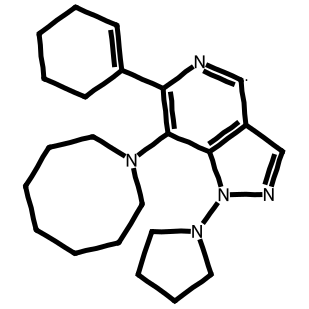 [c]1nc(C2=CCCCC2)c(N2CCCCCCC2)c2c1cnn2N1CCCC1